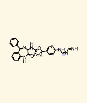 N=C/N=C\Nc1ccc(-c2nnc(NC3N=C(c4ccccc4)c4ccccc4NC3=O)o2)cn1